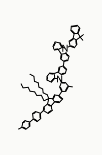 CCCCCCCCC1(CCCCCCCC)c2cc(-c3ccc(-c4ccc(C)cc4)cc3)ccc2-c2ccc(-c3cc(C)cc(-n4c5ccccc5c5cc(-c6ccc7c(c6)c6ccccc6n7-c6ccc7c(c6)-c6ccccc6C7(C)C)ccc54)c3)cc21